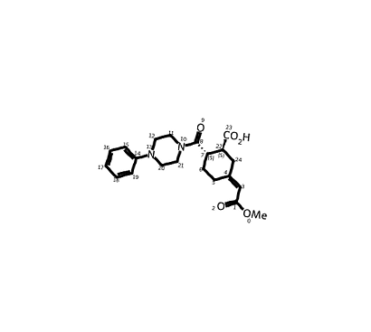 COC(=O)C=C1CC[C@H](C(=O)N2CCN(c3ccccc3)CC2)[C@@H](C(=O)O)C1